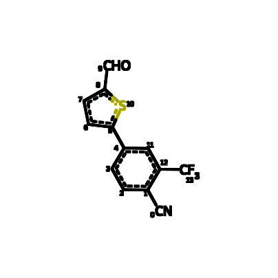 N#Cc1ccc(-c2ccc(C=O)s2)cc1C(F)(F)F